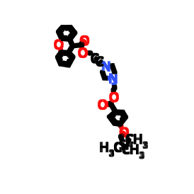 C[Si](C)(C)COc1ccc(C(=O)OCCN2CCN(CCCOC(=O)C3c4ccccc4Oc4ccccc43)CC2)cc1